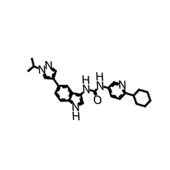 CC(C)n1cc(-c2ccc3[nH]cc(NC(=O)Nc4ccc(C5CCCCC5)nc4)c3c2)cn1